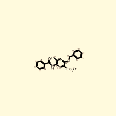 CCOC(=O)c1nc(NC(=O)c2ccccc2)c(C)nc1OCc1ccccc1